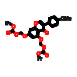 COc1ccc(-c2coc3cc(OCOC(=O)OC(C)C)cc(OCOC(=O)OC(C)C)c3c2=O)cc1